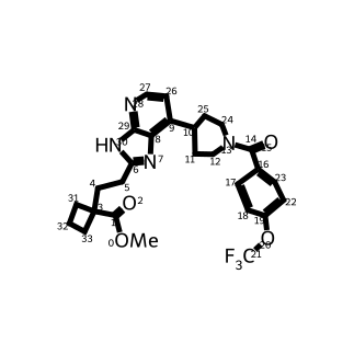 COC(=O)C1(CCc2nc3c(C4CCN(C(=O)c5ccc(OC(F)(F)F)cc5)CC4)ccnc3[nH]2)CCC1